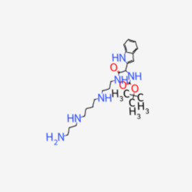 CC(C)(C)OC(=O)NC(C(=O)NCCCNCCCCNCCCN)c1cc2ccccc2[nH]1